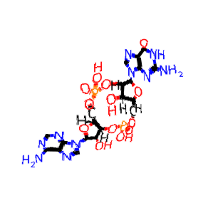 Nc1nc2c(ncn2[C@@H]2O[C@@H]3COP(=O)(O)O[C@@H]4[C@@H](COP(=O)(O)O[C@@H]2[C@@H]3O)OC(n2cnc3c(N)ncnc32)[C@@H]4O)c(=O)[nH]1